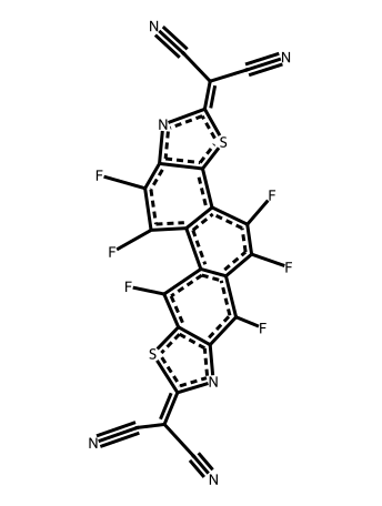 N#CC(C#N)=c1nc2c(F)c3c(F)c(F)c4c5sc(=C(C#N)C#N)nc5c(F)c(F)c4c3c(F)c2s1